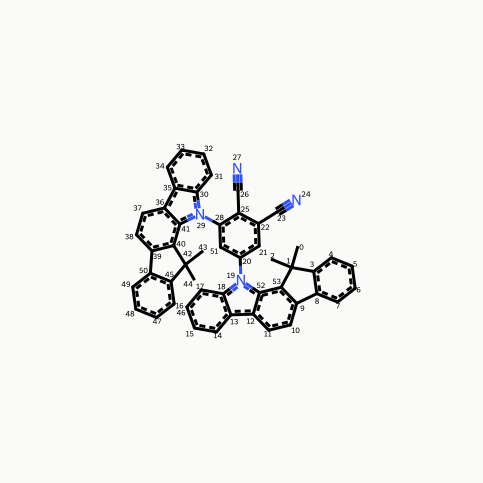 CC1(C)c2ccccc2-c2ccc3c4ccccc4n(-c4cc(C#N)c(C#N)c(-n5c6ccccc6c6ccc7c(c65)C(C)(C)c5ccccc5-7)c4)c3c21